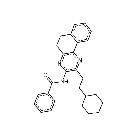 O=C(Nc1nc2c(nc1CCC1CCCCC1)-c1ccccc1CC2)c1ccccc1